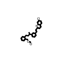 CC(CCc1ccccc1COC=O)c1cccc(/C=C/c2ccc3ccc(Cl)cc3n2)c1